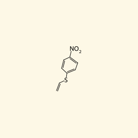 C=CSc1ccc([N+](=O)[O-])cc1